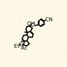 CCOC1(C(C)=O)CCC2C3CC=C4CC(O)(OCc5ccc(C#N)cc5)CCC4(C)C3CCC21C